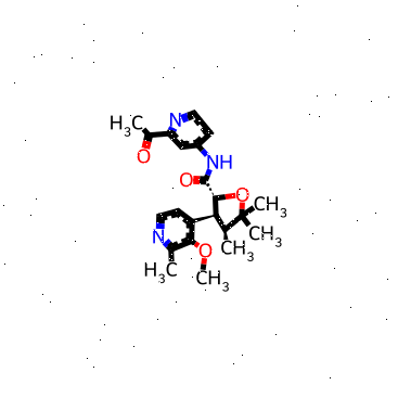 COc1c([C@H]2[C@H](C(=O)Nc3ccnc(C(C)=O)c3)OC(C)(C)[C@H]2C)ccnc1C